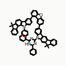 CC1(C)c2ccccc2-c2cc3c4cc(-c5ccc6oc7cccc(-c8ccc9c(c8)c8ccc%10c(c8n9-c8ccccc8)-c8ccccc8C%10(C)C)c7c6c5)ccc4n(C4=NC(c5ccccc5)NC(c5ccccc5)=N4)c3cc21